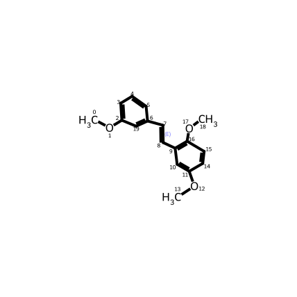 COc1cccc(/C=C/c2cc(OC)ccc2OC)c1